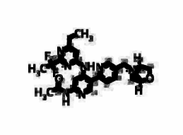 CCc1cc(Nc2cc(NC(C)=O)ncc2-c2ccc(CN3C[C@@H]4C[C@H]3CO4)cn2)nc(C(C)(F)F)n1